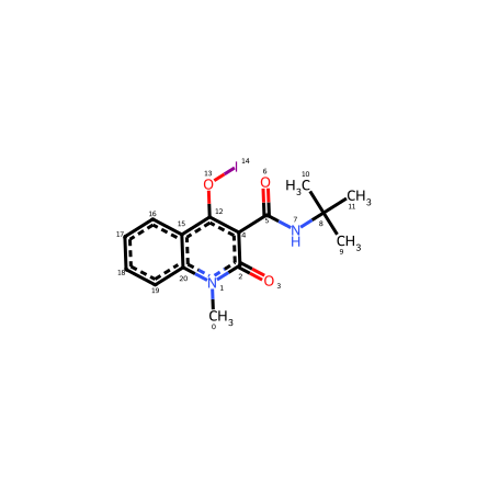 Cn1c(=O)c(C(=O)NC(C)(C)C)c(OI)c2ccccc21